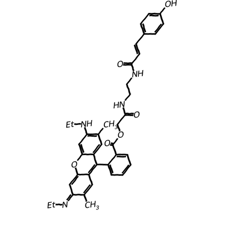 CC/N=c1\cc2oc3cc(NCC)c(C)cc3c(-c3ccccc3C(=O)OCC(=O)NCCNC(=O)/C=C/c3ccc(O)cc3)c-2cc1C